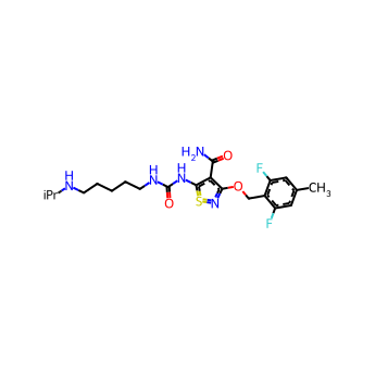 Cc1cc(F)c(COc2nsc(NC(=O)NCCCCCNC(C)C)c2C(N)=O)c(F)c1